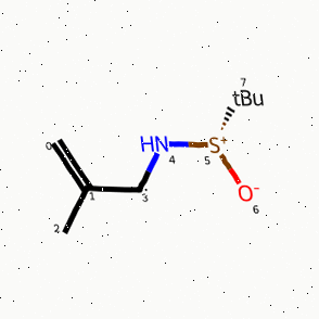 C=C(C)[CH]N[S@@+]([O-])C(C)(C)C